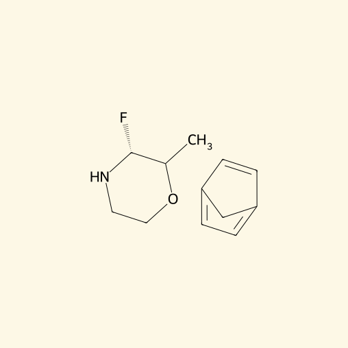 C1=CC2=CC=C1C2.CC1OCCN[C@@H]1F